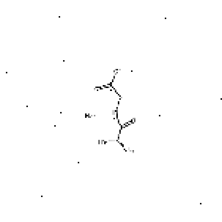 C[C@@H](S)C(=O)NCC(=O)[O-].[Na+]